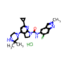 Cl.Cn1cc2cc(NC(=O)N3CCc4c(N5CCNC(C)(C)C5)cc(C5CC5)nc43)c(F)cc2n1